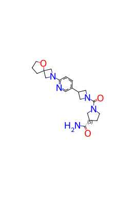 NC(=O)[C@H]1CCN(C(=O)N2CC(c3ccc(N4CC5(CCCO5)C4)nc3)C2)C1